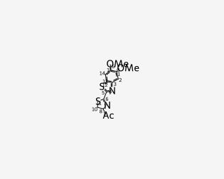 COc1cc2nc(C3=NC(C(C)=O)CS3)sc2cc1OC